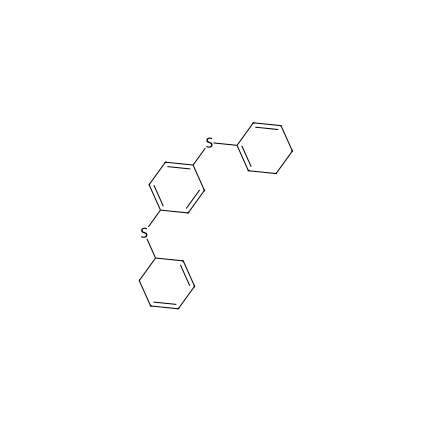 C1=CCC(Sc2ccc(SC3=CCCC=C3)cc2)C=C1